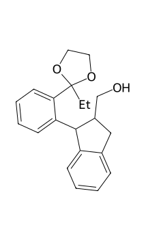 CCC1(c2ccccc2C2c3ccccc3CC2CO)OCCO1